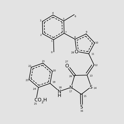 Cc1cccc(C)c1-c1ccc(C=C2SC(=S)N(Nc3ccccc3C(=O)O)C2=O)o1